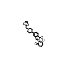 O=C1c2ccc(C3CCN(Cc4nccs4)CC3)cc2CN1N1C(=O)CCCC1=O